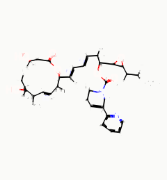 CCC(OC)C(C)C1OC1C(OC(=O)N1CCC=C(c2ccccn2)C1)C(C)/C=C/C=C(\C)C1OC(=O)CC(O)CCC(C)(O)C(OC(C)=O)/C=C/C1C